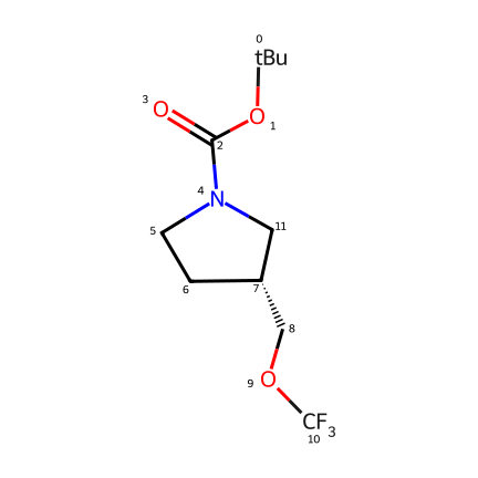 CC(C)(C)OC(=O)N1CC[C@@H](COC(F)(F)F)C1